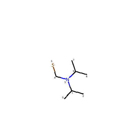 CC(C)N(C[S])C(C)C